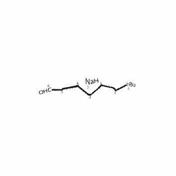 CCCCCCCCCC=O.[NaH]